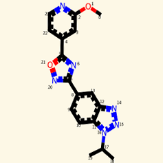 COc1cc(-c2nc(-c3ccc4c(c3)nnn4C(C)C)no2)ccn1